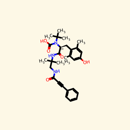 Cc1cc(O)cc(C)c1C[C@@H](C(=O)NC(C)(C)CNC(=O)C#Cc1ccccc1)N(C(=O)O)C(C)(C)C